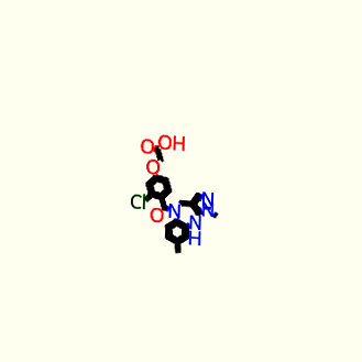 Cc1ccc2c(c1)Nc1c(cnn1C)CN2C(=O)c1ccc(OCC(=O)O)cc1Cl